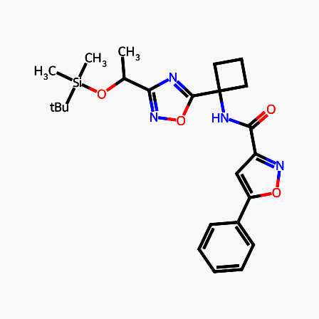 CC(O[Si](C)(C)C(C)(C)C)c1noc(C2(NC(=O)c3cc(-c4ccccc4)on3)CCC2)n1